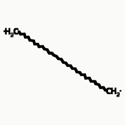 [CH2]CCCCC=CCCCCCCCCCCCCCCCCCC=CCCCCCCCCCCCCC[CH2]